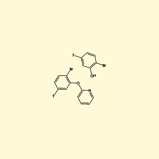 Fc1ccc(Br)c(Oc2ccccn2)c1.Oc1cc(F)ccc1Br